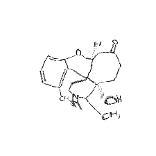 Cc1cccc2c1C13CCNC(C)[C@]1(O)CCC(=O)[C@@H]3O2